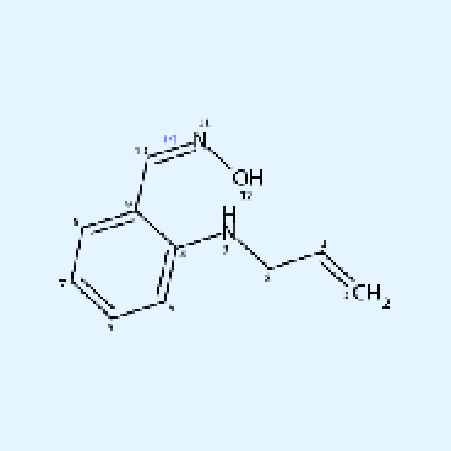 C=CCNc1ccccc1/C=N\O